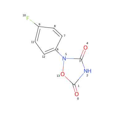 O=c1[nH]c(=O)n(-c2ccc(F)cc2)o1